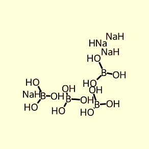 OB(O)O.OB(O)O.OB(O)O.OB(O)O.[NaH].[NaH].[NaH].[NaH]